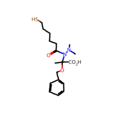 CN(C)N(C(=O)CCCCCS)C(C)(OCc1ccccc1)C(=O)O